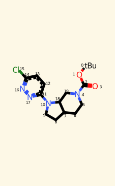 CC(C)(C)OC(=O)N1CCC2CCN(c3ccc(Cl)nn3)C2C1